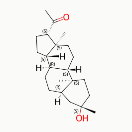 CC(=O)[C@H]1CC[C@H]2[C@@H]3CC[C@@H]4C[C@@](C)(O)CC[C@]4(C)[C@H]3CC[C@]12C